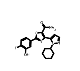 NC(=O)c1oc(-c2ccc(F)c(O)c2)nc1-c1ccnn1C1CCCCC1